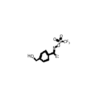 CCC(=NOS(=O)(=O)C(F)(F)F)c1ccc(CO)cc1